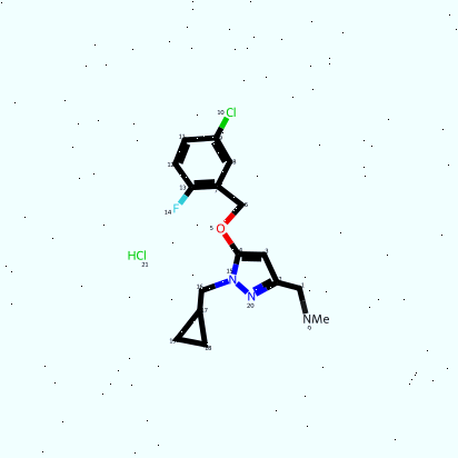 CNCc1cc(OCc2cc(Cl)ccc2F)n(CC2CC2)n1.Cl